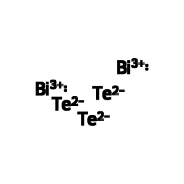 [Bi+3].[Bi+3].[Te-2].[Te-2].[Te-2]